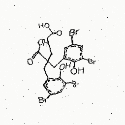 O=C(O)CCC(Cc1cc(Br)cc(Br)c1O)(Cc1cc(Br)cc(Br)c1O)C(=O)O